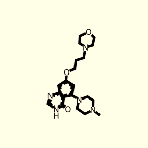 CN1CCN(c2cc(OCCCN3CCOCC3)cc3nc[nH]c(=O)c23)CC1